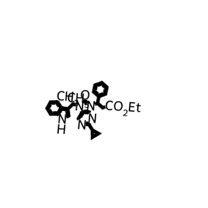 CCOC(=O)CC(c1ccccc1)n1c(=O)n(C(C)c2c[nH]c3cccc(C)c23)c2cnc(C3CC3)nc21